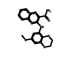 COc1cc(Nc2nc3ccccc3nc2C(N)=O)c2c(c1)OCCO2